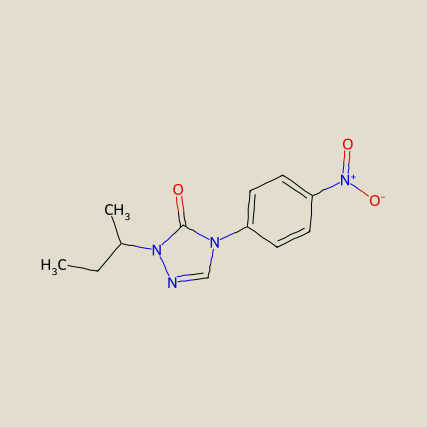 CCC(C)n1ncn(-c2ccc([N+](=O)[O-])cc2)c1=O